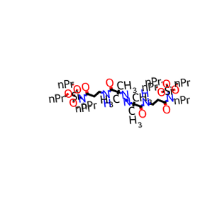 CCCO[Si](OCCC)(OCCC)N(CCC)C(=O)CCNC(=O)C(C)(C)N=NC(C)(C)C(=O)NCCC(=O)N(CCC)[Si](OCCC)(OCCC)OCCC